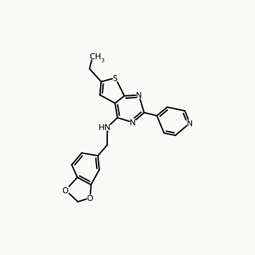 CCc1cc2c(NCc3ccc4c(c3)OCO4)nc(-c3ccncc3)nc2s1